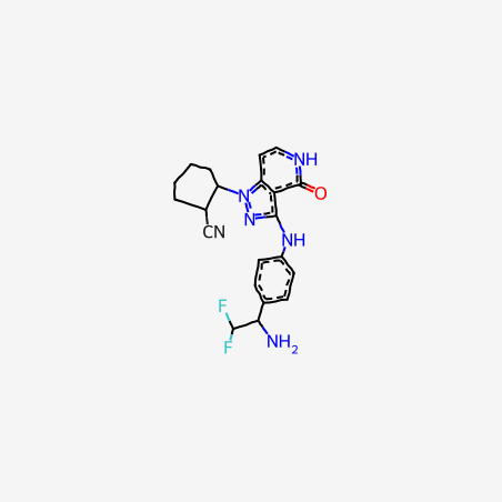 N#CC1CCCCC1n1nc(Nc2ccc(C(N)C(F)F)cc2)c2c(=O)[nH]ccc21